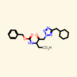 O=C(O)CC(NC(=O)OCc1ccccc1)C(=O)Cn1nnc(CC2CCCCC2)n1